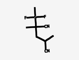 CC(C#N)CC(C)(C#N)S(C)(F)F